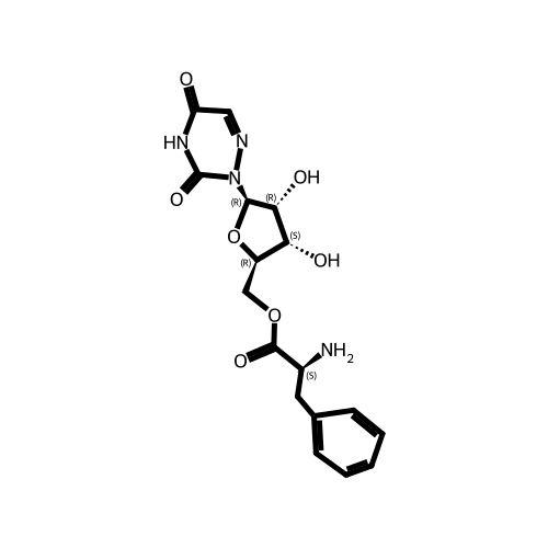 N[C@@H](Cc1ccccc1)C(=O)OC[C@H]1O[C@@H](n2ncc(=O)[nH]c2=O)[C@H](O)[C@@H]1O